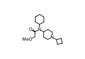 COCC(=O)N(C1CCCCC1)C1CCN(C2CCC2)CC1